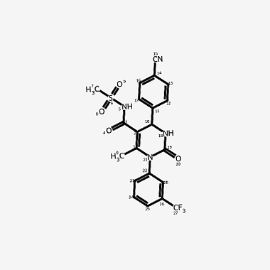 CC1=C(C(=O)NS(C)(=O)=O)C(c2ccc(C#N)cc2)NC(=O)N1c1cccc(C(F)(F)F)c1